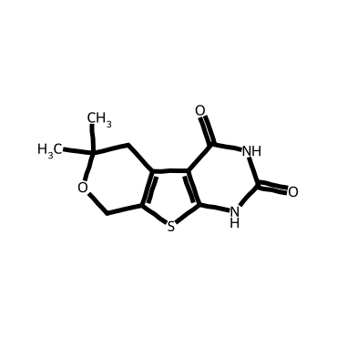 CC1(C)Cc2c(sc3[nH]c(=O)[nH]c(=O)c23)CO1